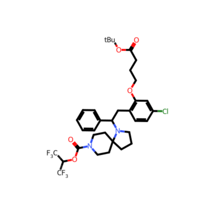 CC(C)(C)OC(=O)CCCOc1cc(Cl)ccc1CC(c1ccccc1)N1CCCC12CCN(C(=O)OC(C(F)(F)F)C(F)(F)F)CC2